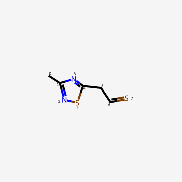 Cc1nsc(C[C]=S)n1